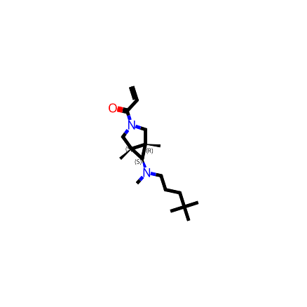 C=CC(=O)N1C[C@@]2(C)[C@H](N(C)CCCC(C)(C)C)[C@@]2(C)C1